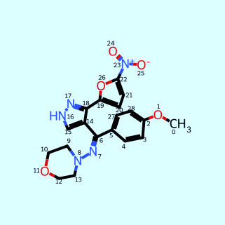 COc1ccc(C(=NN2CCOCC2)c2c[nH]nc2-c2ccc([N+](=O)[O-])o2)cc1